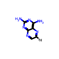 [2H]c1cnc2nc(N)nc(N)c2n1